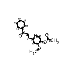 COc1cc(/C=C/C(=O)c2ccccc2)ncc1OC(C)=O